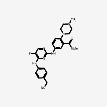 CNC(=O)c1cc(Nc2ncc(F)c(Nc3ccc(CC#N)cc3)n2)ccc1N1CCN(C)CC1